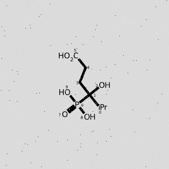 CC(C)C(O)(CCC(=O)O)P(=O)(O)O